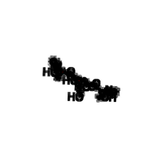 CC(C)(C)c1cc(CCC(=O)OCC(O)COCC(CC(O)COC(=O)CCc2cc(-n3nc4ccccc4n3)c(O)c(C(C)(C)C)c2)OCCOCCO)cc(-n2nc3ccccc3n2)c1O